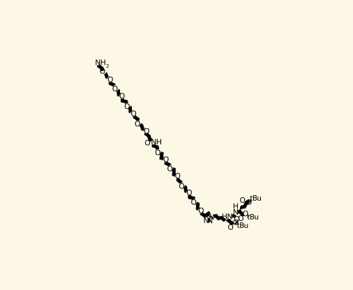 CC(C)(C)OC(=O)CC[C@H](NC(=O)N[C@@H](CCCCn1cc(COCCOCCOCCOCCOCCOCCOCCOCCNC(=O)CCOCCOCCOCCOCCOCCOCCOCCOCCN)nn1)C(=O)OC(C)(C)C)C(=O)OC(C)(C)C